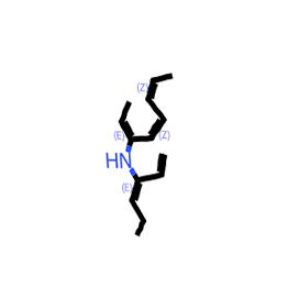 C=C/C(=C\CC)NC(/C=C\C=C/C)=C/C